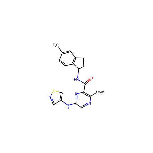 COc1ncc(Nc2cnsc2)nc1C(=O)NC1CCc2cc(C(F)(F)F)ccc21